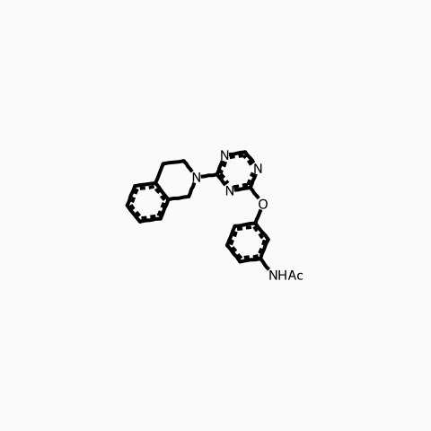 CC(=O)Nc1cccc(Oc2ncnc(N3CCc4ccccc4C3)n2)c1